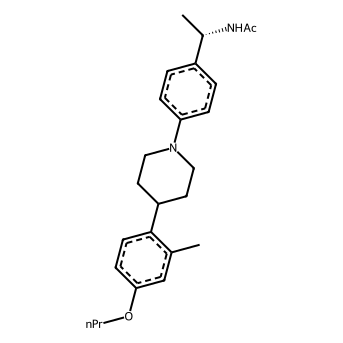 CCCOc1ccc(C2CCN(c3ccc([C@H](C)NC(C)=O)cc3)CC2)c(C)c1